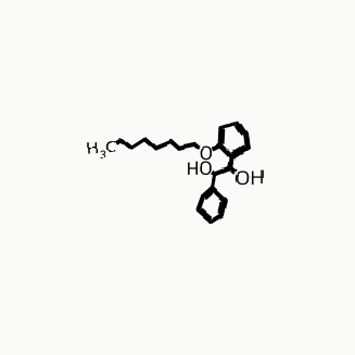 CCCCCCCCOc1ccccc1C(O)C(O)c1ccccc1